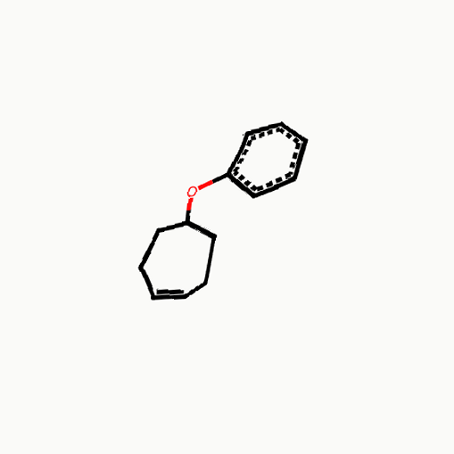 [c]1ccccc1OC1CCC=CCC1